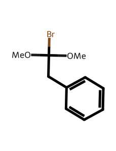 COC(Br)(Cc1ccccc1)OC